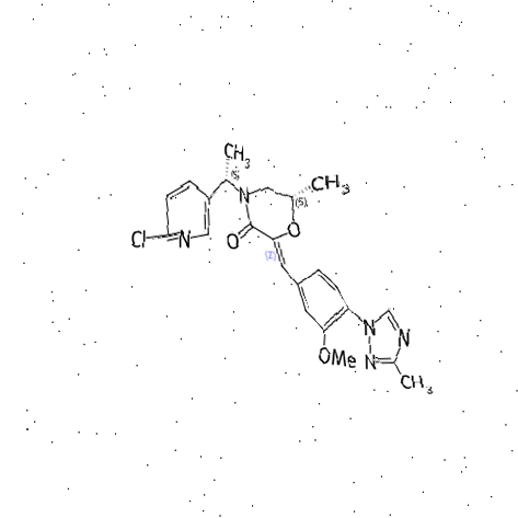 COc1cc(/C=C2\O[C@@H](C)CN([C@@H](C)c3ccc(Cl)nc3)C2=O)ccc1-n1cnc(C)n1